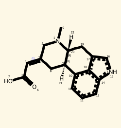 CN1C/C(=C/C(=O)O)C[C@@H]2c3cccc4[nH]cc(c34)C[C@H]21